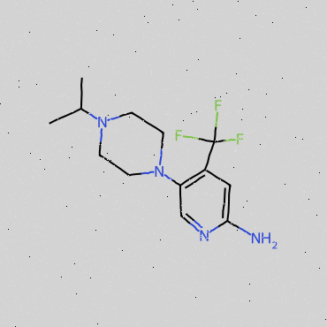 CC(C)N1CCN(c2cnc(N)cc2C(F)(F)F)CC1